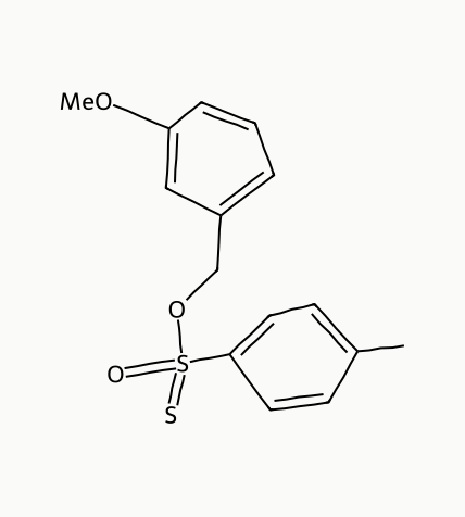 COc1cccc(COS(=O)(=S)c2ccc(C)cc2)c1